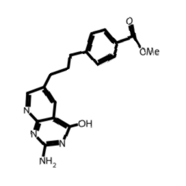 COC(=O)c1ccc(CCCc2cnc3nc(N)nc(O)c3c2)cc1